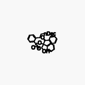 CCCCCCCCCCCCc1ccccc1S(=O)(=O)OC(CO)(C(=O)c1ccccc1)c1ccccc1